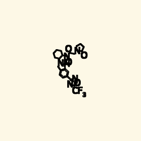 O=C(CN1CCCC1=O)N[C@@H]1CCCC[C@H]1N1Cc2ccc(-c3noc(C(F)(F)F)n3)cc2C1=O